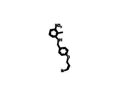 Cc1c(NCc2ccc(OC/C=C\Br)cc2)cccc1[N+](=O)[O-]